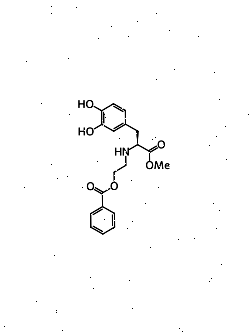 COC(=O)[C@H](Cc1ccc(O)c(O)c1)NCCOC(=O)c1ccccc1